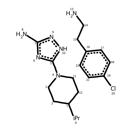 CC(C)C1CCN(c2nc(N)n[nH]2)CC1.NCCc1ccc(Cl)cc1